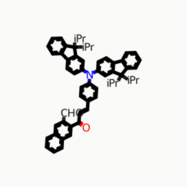 CC(C)C1(C(C)C)c2ccccc2-c2ccc(N(c3ccc(C=CC(=O)c4cc5ccccc5cc4C=O)cc3)c3ccc4c(c3)C(C(C)C)(C(C)C)c3ccccc3-4)cc21